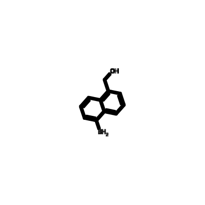 Bc1cccc2c(CO)cccc12